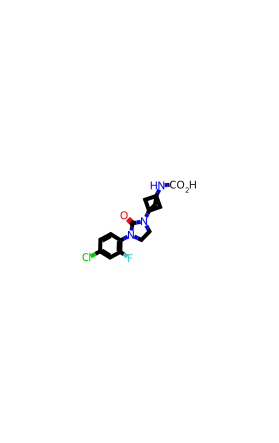 O=C(O)NC12CC(N3CCN(c4ccc(Cl)cc4F)C3=O)(C1)C2